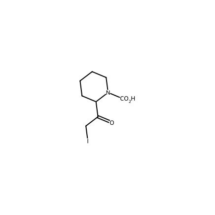 O=C(CI)C1CCCCN1C(=O)O